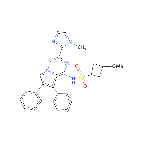 COC1CC(S(=O)(=O)Nc2nc(-c3nccn3C)nn3cc(-c4ccccc4)c(-c4ccccc4)c23)C1